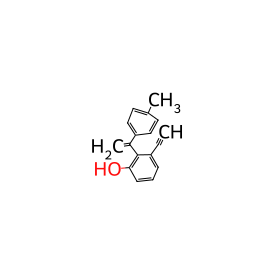 C#Cc1cccc(O)c1C(=C)c1ccc(C)cc1